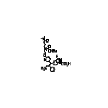 CN(C)C(=O)CCCN(CCOc1ccc(C(=C(CC(F)(F)F)c2ccccc2)c2ccc3c(c2)c(F)nn3C(=O)O)cn1)C(=O)OC(C)(C)C